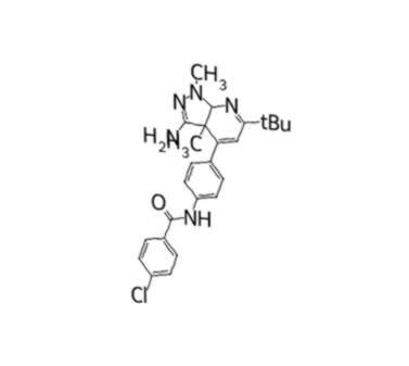 CN1N=C(N)C2(C)C(c3ccc(NC(=O)c4ccc(Cl)cc4)cc3)=CC(C(C)(C)C)=NC12